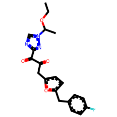 CCOC(C)n1cnc(C(=O)C(=O)Cc2ccc(Cc3ccc(F)cc3)o2)n1